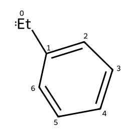 C[C]c1ccccc1